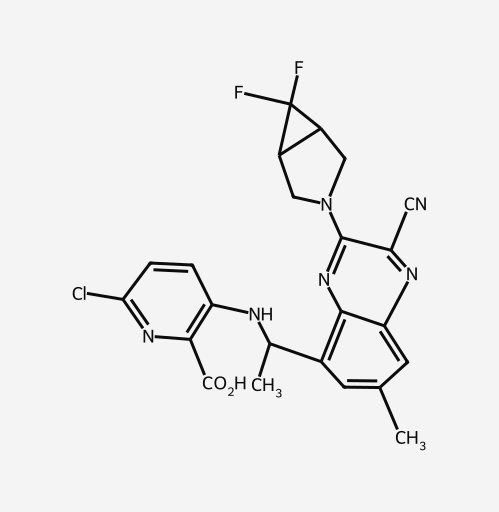 Cc1cc(C(C)Nc2ccc(Cl)nc2C(=O)O)c2nc(N3CC4C(C3)C4(F)F)c(C#N)nc2c1